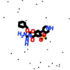 CS(=O)(=O)c1cc(C(=O)N(C(=N)N)C(=O)OCc2ccccc2)ccc1C1CCNCC1